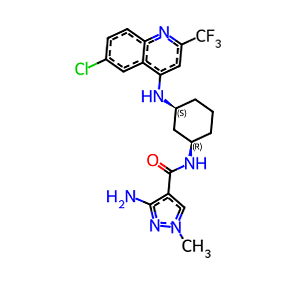 Cn1cc(C(=O)N[C@@H]2CCC[C@H](Nc3cc(C(F)(F)F)nc4ccc(Cl)cc34)C2)c(N)n1